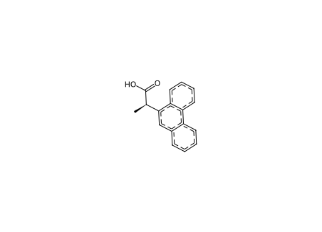 C[C@@H](C(=O)O)c1cc2ccccc2c2ccccc12